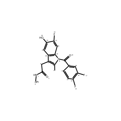 CCCNC(=O)Cc1c(C)n(C(=O)c2ccc(F)c(F)c2)c2cc(F)c(O)cc12